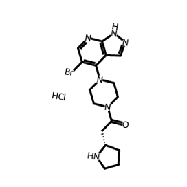 Cl.O=C(C[C@@H]1CCCN1)N1CCN(c2c(Br)cnc3[nH]ncc23)CC1